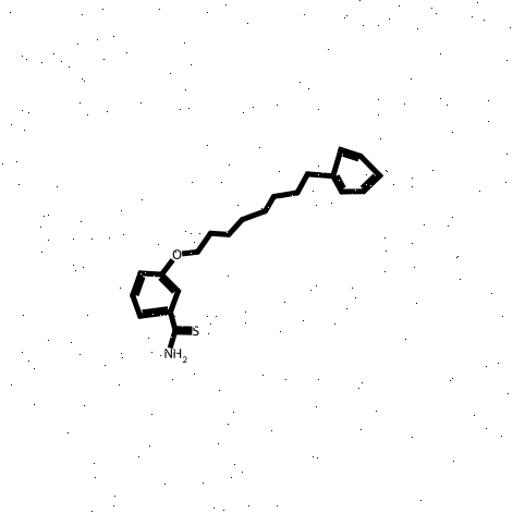 NC(=S)c1cccc(OCCCCCCCCc2ccccc2)c1